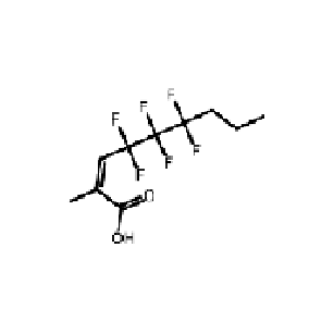 CCCC(F)(F)C(F)(F)C(F)(F)C=C(C)C(=O)O